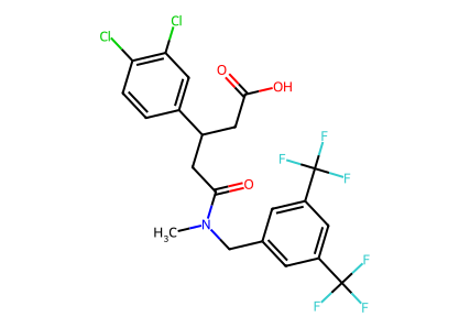 CN(Cc1cc(C(F)(F)F)cc(C(F)(F)F)c1)C(=O)CC(CC(=O)O)c1ccc(Cl)c(Cl)c1